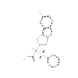 COC(=O)C(F)(C1Cc2[nH]c3ccc(Cl)cc3c2C1)S(=O)(=O)c1ccccn1